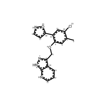 Cc1cc(OCc2n[nH]c3ncccc23)c(-c2ccno2)cc1Cl